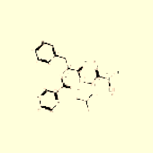 CC(C)C[C@H](NC(=O)[C@H](Cc1ccccc1)NC(=O)c1cnccn1)C(=O)B(O)O